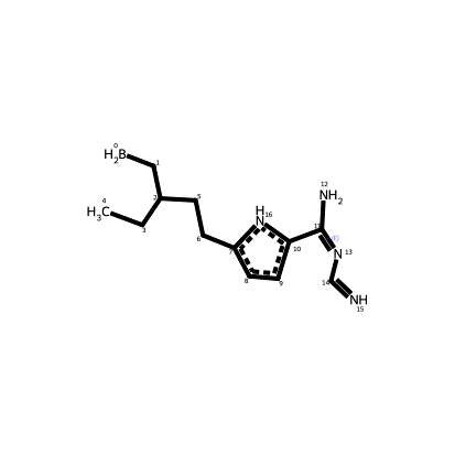 BCC(CC)CCc1ccc(/C(N)=N\C=N)[nH]1